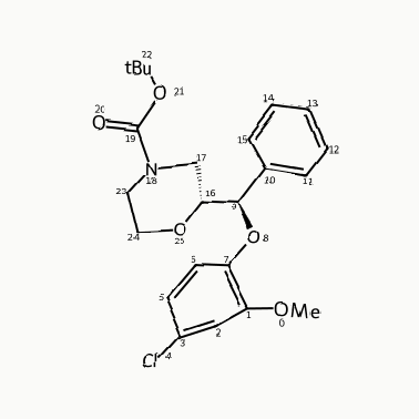 COc1cc(Cl)ccc1O[C@H](c1ccccc1)[C@H]1CN(C(=O)OC(C)(C)C)CCO1